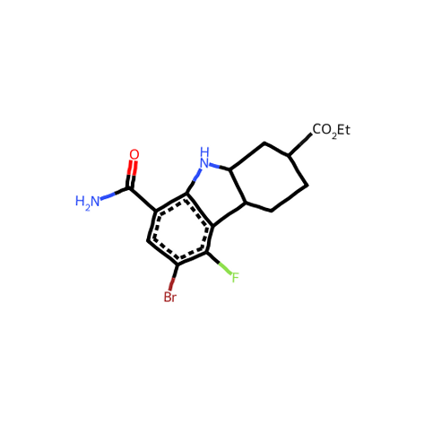 CCOC(=O)C1CCC2c3c(F)c(Br)cc(C(N)=O)c3NC2C1